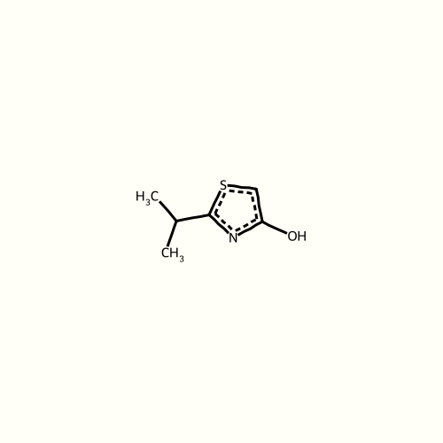 CC(C)c1nc(O)cs1